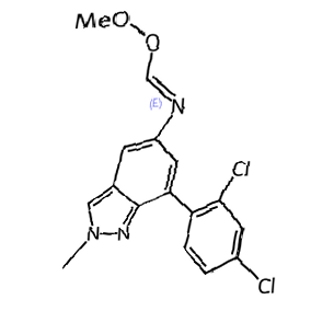 COO/C=N/c1cc(-c2ccc(Cl)cc2Cl)c2nn(C)cc2c1